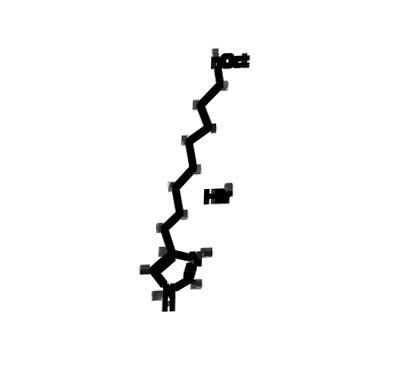 Br.CCCCCCCCCCCCCCCCc1c[nH]cn1